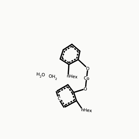 CCCCCCc1ccccc1[O][Co][O]c1ccccc1CCCCCC.O.O